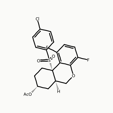 CC(=O)O[C@@H]1CC[C@@]2(S(=O)(=O)c3ccc(Cl)cc3)c3c(F)ccc(F)c3OC[C@H]2C1